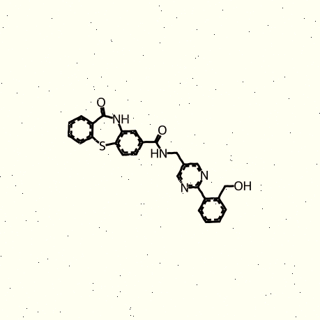 O=C(NCc1cnc(-c2ccccc2CO)nc1)c1ccc2c(c1)NC(=O)c1ccccc1S2